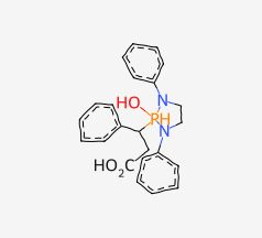 O=C(O)CC(c1ccccc1)[PH]1(O)N(c2ccccc2)CCN1c1ccccc1